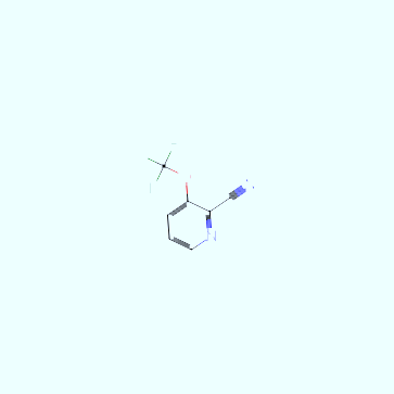 N#Cc1n[c]ccc1OC(F)(F)F